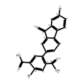 O=C(O)c1cc(-c2ccc3c(c2)C(=O)c2cc(Br)ccc2-3)c(C(=O)O)cc1Br